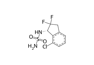 NS(=O)(=O)N[C@H]1c2c(Cl)cccc2CC1(F)F